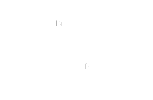 C/C=C(\Br)C(C)Br